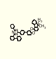 CC1(C)c2ccccc2-c2c1ccc1c2Oc2cc(-c3ccc(-c4nc(C5=CCCCC5)nc(-c5ccccc5-c5ccccc5)n4)cc3)ccc2O1